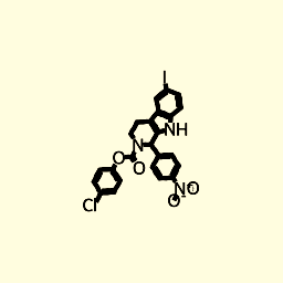 O=C(Oc1ccc(Cl)cc1)N1CCc2c([nH]c3ccc(I)cc23)C1c1ccc([N+](=O)[O-])cc1